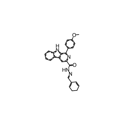 COc1ccc(-c2nc(C(=O)N/N=C/C3=CCCC=C3)cc3c2[nH]c2ccccc23)cc1